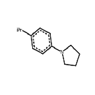 CC(C)c1ccc(N2CCCC2)cc1